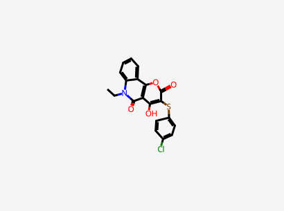 CCn1c(=O)c2c(O)c(Sc3ccc(Cl)cc3)c(=O)oc2c2ccccc21